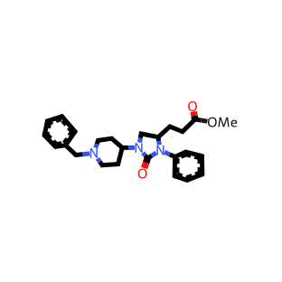 COC(=O)CCC1CN(C2CCN(Cc3ccccc3)CC2)C(=O)N1c1ccccc1